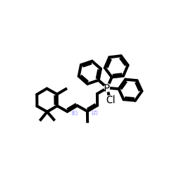 CC1=C(/C=C/C(C)=C\CP(Cl)(c2ccccc2)(c2ccccc2)c2ccccc2)C(C)(C)CCC1